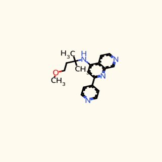 COCCC(C)(C)Nc1cc(-c2ccncc2)nc2cnccc12